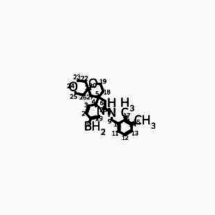 Bc1ccc(C2(CCNCc3cccc(C)c3C)CCOC3(CCOCC3)C2)nc1